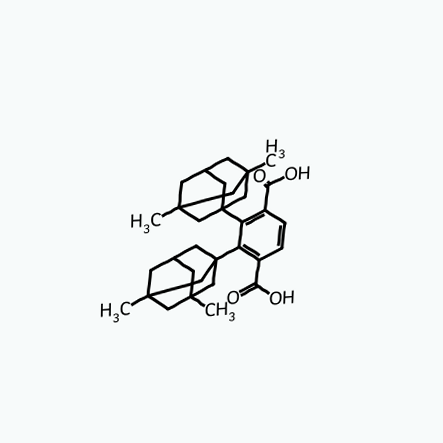 CC12CC3CC(C)(C1)CC(c1c(C(=O)O)ccc(C(=O)O)c1C14CC5CC(C)(CC(C)(C5)C1)C4)(C3)C2